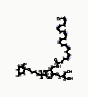 CC/C=C\C/C=C\C/C=C\C/C=C\C/C=C\C/C=C\CCC(=O)NCC(NC(=O)C(C)(C)CCCOc1cc(C)ccc1C)C(=O)OCC(CO)CO